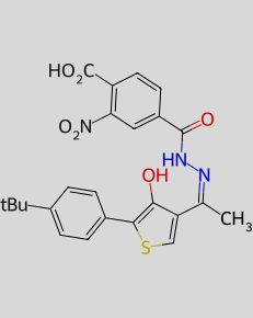 CC(=NNC(=O)c1ccc(C(=O)O)c([N+](=O)[O-])c1)c1csc(-c2ccc(C(C)(C)C)cc2)c1O